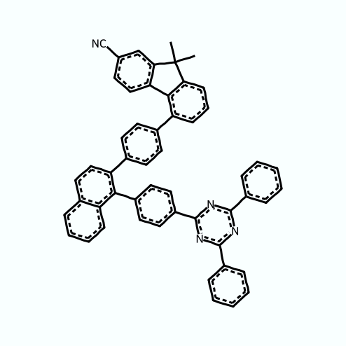 CC1(C)c2cc(C#N)ccc2-c2c(-c3ccc(-c4ccc5ccccc5c4-c4ccc(-c5nc(-c6ccccc6)nc(-c6ccccc6)n5)cc4)cc3)cccc21